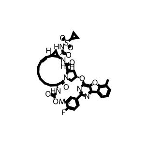 COC(=O)N[C@H]1CCCCC/C=C\[C@@H]2C[C@@]2(C(=O)NS(=O)(=O)C2CC2)NC(=O)[C@@H]2C[C@@H](Oc3nc(-c4ccc(F)cc4)nc4c3oc3c(C)cccc34)CN2C1=O